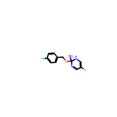 NC1(OCc2ccc(F)cc2)N=CC(F)=CN1